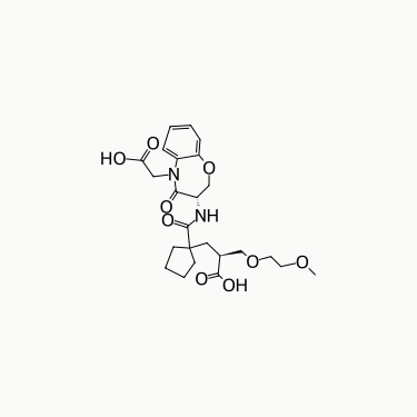 COCCOC[C@H](CC1(C(=O)N[C@H]2COc3ccccc3N(CC(=O)O)C2=O)CCCC1)C(=O)O